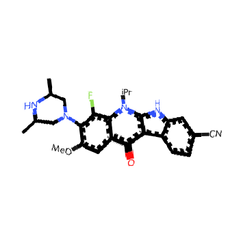 COc1cc2c(=O)c3c4ccc(C#N)cc4[nH]c3n(C(C)C)c2c(F)c1N1CC(C)NC(C)C1